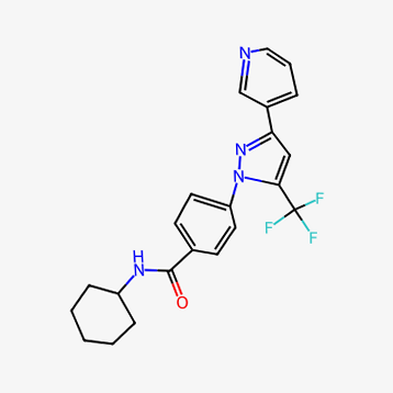 O=C(NC1CCCCC1)c1ccc(-n2nc(-c3cccnc3)cc2C(F)(F)F)cc1